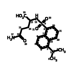 CN(C)c1cccc2c(S(=O)(=O)NC(CCC(N)=O)C(=O)O)cccc12